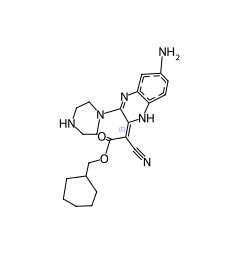 N#C/C(C(=O)OCC1CCCCC1)=C1\Nc2ccc(N)cc2N=C1N1CCNCC1